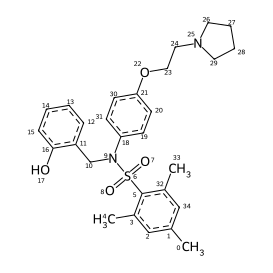 Cc1cc(C)c(S(=O)(=O)N(Cc2ccccc2O)c2ccc(OCCN3CCCC3)cc2)c(C)c1